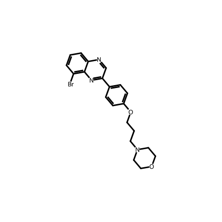 Brc1cccc2ncc(-c3ccc(OCCCN4CCOCC4)cc3)nc12